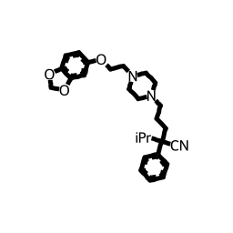 CC(C)C(C#N)(CCCN1CCN(CCOc2ccc3c(c2)OCO3)CC1)c1ccccc1